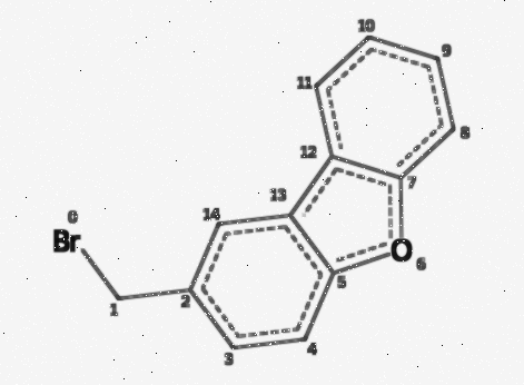 BrCc1ccc2oc3ccccc3c2c1